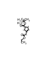 CCOC(=O)CC1=CCN(C(=O)OC(C)(C)C)C1